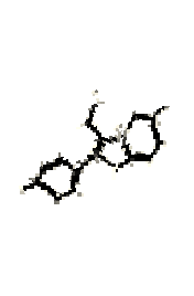 CC1=CC=C2NC(c3ccc(C)cc3)=C(CO)N2C1